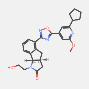 COc1cc(-c2nc(-c3cccc4c3C[C@@H]3CC(=O)N(CCO)[C@H]43)no2)cc(C2CCCC2)n1